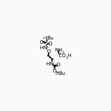 CC(C)(C)OC(=O)NCCONS(=O)(=O)C(C)(C)C.NC(=O)O